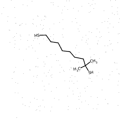 CC(C)(S)CCCCCCCS